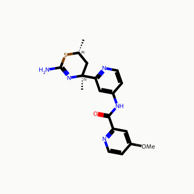 COc1ccnc(C(=O)Nc2ccnc([C@]3(C)C[C@@H](C)SC(N)=N3)c2)c1